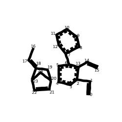 C=Cc1cccc(-c2ccccc2)c1C=C.CC=C1CC2C=CC1C2